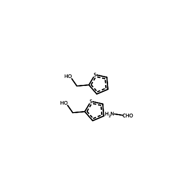 NC=O.OCc1cccs1.OCc1cccs1